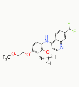 [2H]C([2H])([2H])Oc1cc(OCCOC(F)(F)F)ccc1Nc1ccnc2cc(C(F)F)ccc12